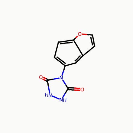 O=c1[nH][nH]c(=O)n1-c1ccc2occc2c1